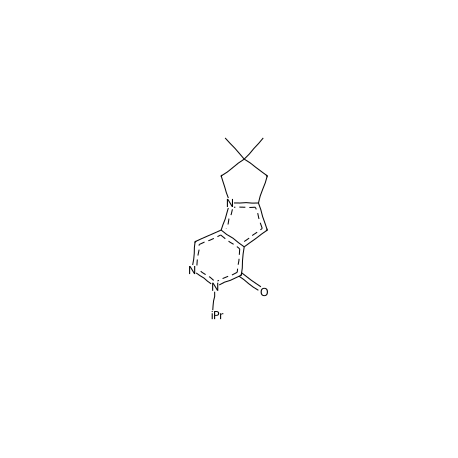 CC(C)n1ncc2c(cc3n2CC(C)(C)C3)c1=O